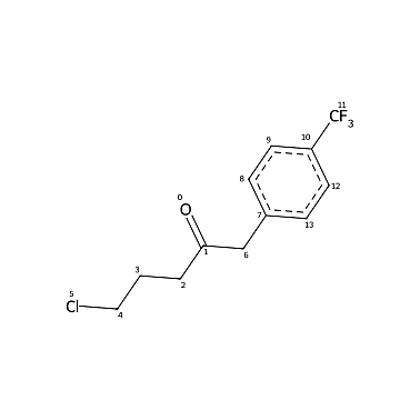 O=C(CCCCl)Cc1ccc(C(F)(F)F)cc1